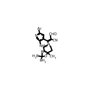 BC(B)(B)OC1(C)CCN(/C(=C(\C#N)C=O)c2cc(C(C)=O)ncc2NC)CC1